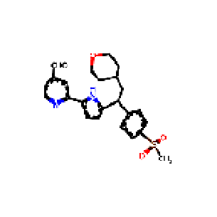 CS(=O)(=O)c1ccc(C(CC2CCOCC2)c2ccc(-c3cc(C=O)ccn3)[nH]2)cc1